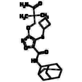 CC(C)(COc1noc(C(=O)NC2C3CC4CC(C3)CC2C4)c1SC1CCC1)C(N)=O